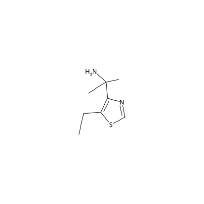 CCc1scnc1C(C)(C)N